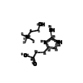 C[N+](C)(C)CCO.O=C([O-])CCc1c[nH]c(S)n1